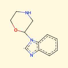 [c]1nc2ccccc2n1C1CNCCO1